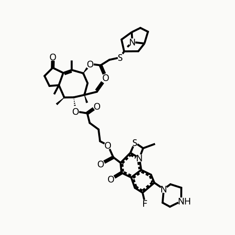 C=C[C@@]1(C)C[C@H](OC(=O)CSC2CC3CCC(C2)N3C)/C(C)=C2/C(=O)CCC2(C)[C@H](C)[C@H]1OC(=O)CCCOC(=O)c1c2n(c3cc(N4CCNCC4)c(F)cc3c1=O)C(C)S2